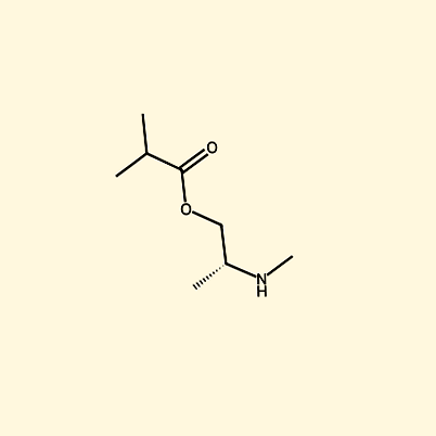 CN[C@H](C)COC(=O)C(C)C